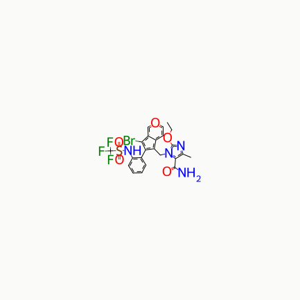 CCOc1nc(C)c(C(N)=O)n1Cc1c2ccocc-2c(Br)c1-c1ccccc1NS(=O)(=O)C(F)(F)F